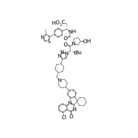 Cc1ncsc1-c1ccc([C@H](CC(=O)O)NC(=O)[C@@H]2C[C@@H](O)CN2C(=O)[C@@H](n2cc(C3CCC(CN4CCC(c5ccc6c(c5)-n5c(nc(=O)c7c(Cl)cccc75)C65CCCCC5)CC4)CC3)nn2)C(C)(C)C)cc1